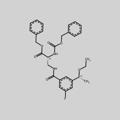 CCO[C@H](C)c1cc(F)cc(C(=O)NC[C@@H](NC(=O)OCc2ccccc2)C(=O)OCc2ccccc2)c1